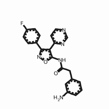 Nc1cccc(CC(=O)Nc2onc(-c3ccc(F)cc3)c2-c2ccncn2)c1